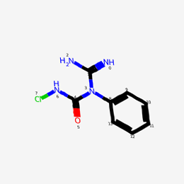 N=C(N)N(C(=O)NCl)c1ccccc1